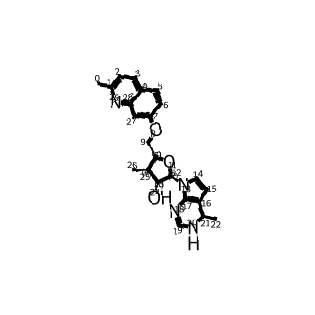 Cc1ccc2ccc(OC[C@H]3O[C@@H](n4ccc5c4N=CNC5C)[C@H](O)[C@H]3C)cc2n1